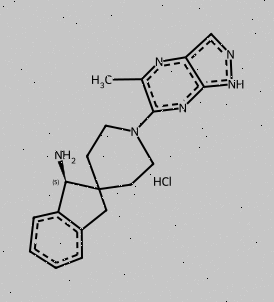 Cc1nc2cn[nH]c2nc1N1CCC2(CC1)Cc1ccccc1[C@H]2N.Cl